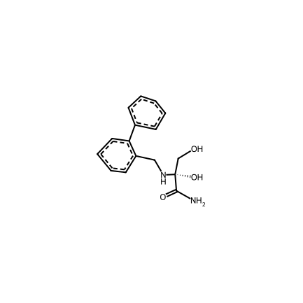 NC(=O)[C@](O)(CO)NCc1ccccc1-c1ccccc1